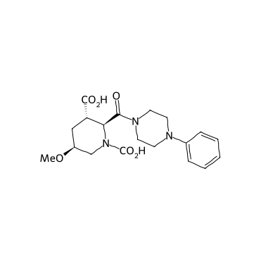 CO[C@H]1C[C@H](C(=O)O)[C@@H](C(=O)N2CCN(c3ccccc3)CC2)N(C(=O)O)C1